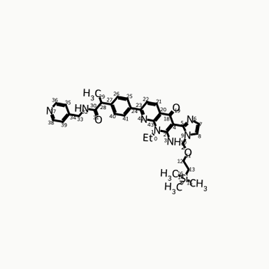 CCn1c(N)c(-c2nccn2COCC[Si](C)(C)C)c(=O)c2ccc(-c3ccc(C(C)C(=O)NCc4ccncc4)cc3)nc21